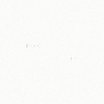 CC(C)C(C)(C)C(C)(C)C(=O)O